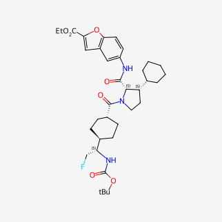 CCOC(=O)c1cc2cc(NC(=O)[C@@H]3[C@H](C4CCCCC4)CCN3C(=O)[C@H]3CC[C@H]([C@@H](CF)NC(=O)OC(C)(C)C)CC3)ccc2o1